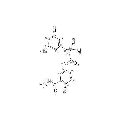 NNC(=O)c1cc(NC(=O)C2C(c3cc(Cl)cc(Cl)c3)C2(Cl)Cl)ccc1Cl